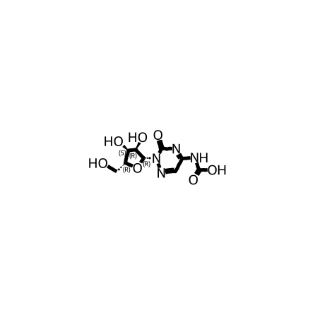 O=C(O)Nc1cnn([C@@H]2O[C@H](CO)[C@@H](O)[C@H]2O)c(=O)n1